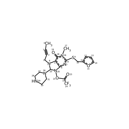 CC#CCN1c2c(nc(SCc3ccco3)n(C)c2=O)N(OC(=O)C(F)(F)F)C1N1CCNCC1